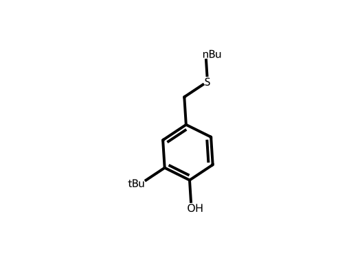 CCCCSCc1ccc(O)c(C(C)(C)C)c1